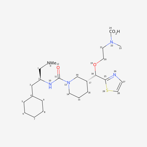 CNC[C@H](CC1CCCCC1)NC(=O)N1CCC[C@@H](C(OCCN(C)C(=O)O)c2nccs2)C1